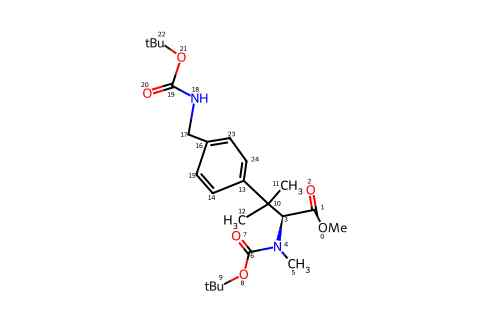 COC(=O)[C@@H](N(C)C(=O)OC(C)(C)C)C(C)(C)c1ccc(CNC(=O)OC(C)(C)C)cc1